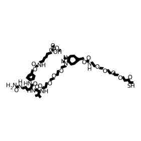 COP(=O)(O)OCCCCCCNC(=O)OCc1ccc(NC(=O)C(CCCNC(N)=O)NC(=O)C(NC(=O)CCOCCOCCOCCn2nnc3c2CCC2C(CC3)C2COC(=O)NCCOCCOCCOCCOCCC(=O)C(C)S)C(C)C)cc1